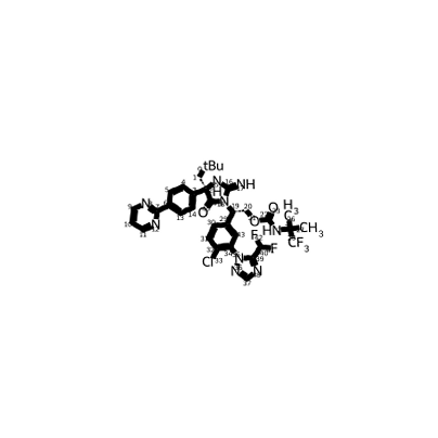 CC(C)(C)C[C@]1(c2ccc(-c3ncccn3)cc2)NC(=N)N([C@H](COC(=O)NC(C)(C)C(F)(F)F)c2ccc(Cl)c(-n3ncnc3C(F)F)c2)C1=O